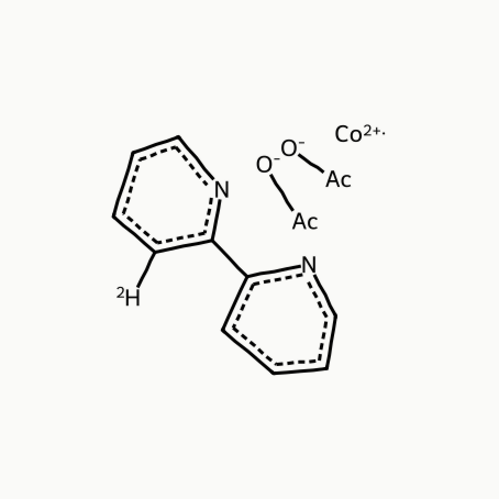 CC(=O)[O-].CC(=O)[O-].[2H]c1cccnc1-c1ccccn1.[Co+2]